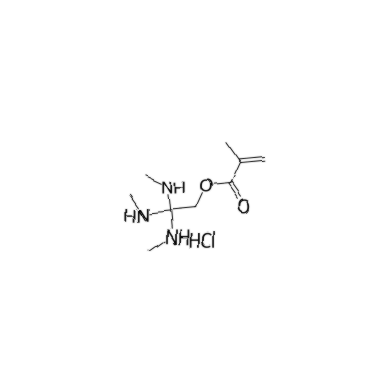 C=C(C)C(=O)OCC(NC)(NC)NC.Cl